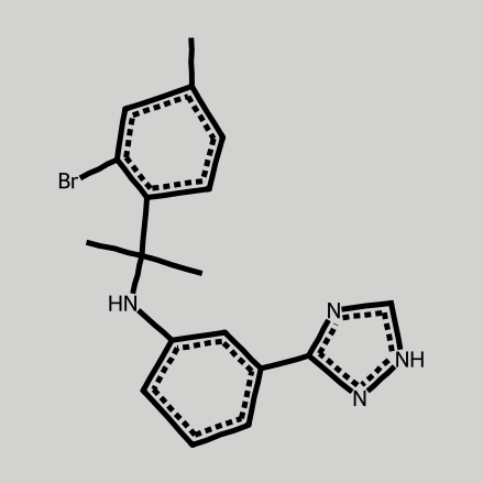 Cc1ccc(C(C)(C)Nc2cccc(-c3nc[nH]n3)c2)c(Br)c1